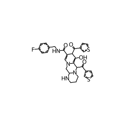 O=C(NCc1ccc(F)cc1)C1=CN2CC3NCCCN3C(C(=O)c3ccsc3)C2=C(O)C1C(=O)c1ccsc1